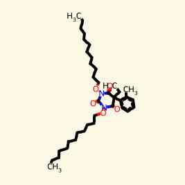 CCCCCCCCCCCCON1C(=O)N(OCCCCCCCCCCCC)C(=O)C(CC)(c2ccccc2C)C1=O